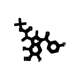 Cc1c(C(C)C(=O)OC(C)(C)C)c2c(F)c(O)c(F)cc2n1C(=O)c1cccc(F)c1